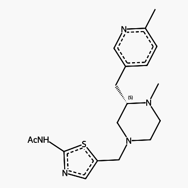 CC(=O)Nc1ncc(CN2CCN(C)[C@@H](Cc3ccc(C)nc3)C2)s1